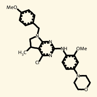 COc1ccc(CN2CC(C)c3c(Cl)nc(Nc4ccc(N5CCOCC5)cc4OC)nc32)cc1